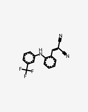 N#CC(C#N)=Cc1ccccc1Nc1cccc(C(F)(F)F)c1